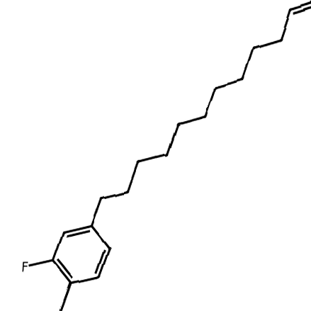 C=CCCCCCCCCCCc1ccc(C)c(F)c1